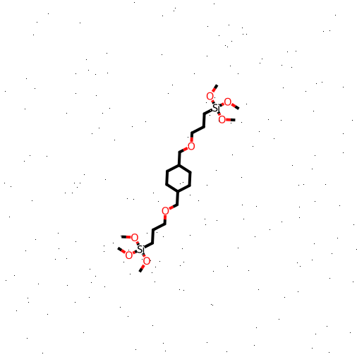 CO[Si](CCCOCC1CCC(COCCC[Si](OC)(OC)OC)CC1)(OC)OC